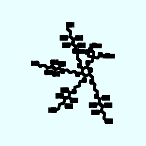 CCCCCCCCCCOCC(COCCCCCCCCCC)(COCCCCCCCCCC)CO[C@@H]1OC(COCCCO[C@H](O)/C(O)=C(\O)[C@H](O)CCO)[C@@H](OCCCO[C@H](O)/C(O)=C(\O)[C@H](O)CCO)C(OCCCO[C@H](O)/C(O)=C(\O)[C@H](O)CCO)C1OCCCO[C@H](O)/C(O)=C(\O)[C@H](O)CCO